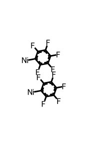 Fc1c(F)c(F)[c]([Ni])c(F)c1F.Fc1c(F)c(F)[c]([Ni])c(F)c1F